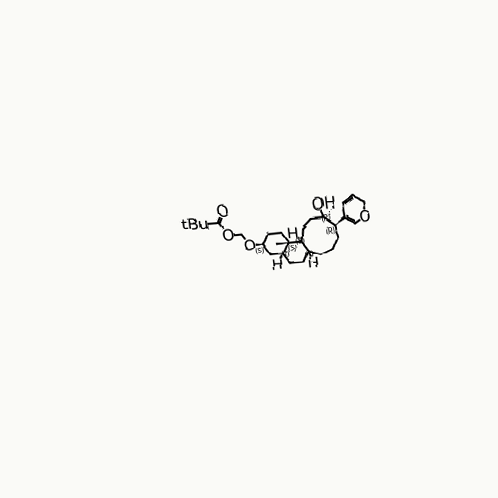 CC(C)(C)C(=O)OCO[C@H]1CC[C@@]2(C)[C@H](CC[C@H]3CCC[C@H](C4=COCC=C4)[C@](C)(O)CC[C@@H]32)C1